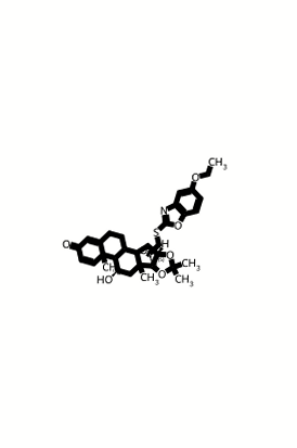 CCOc1ccc2oc(SCC(=O)[C@@]34OC(C)(C)O[C@H]3CC3C5CCC6=CC(=O)C=CC6(C)C5[C@@H](O)CC34C)nc2c1